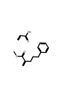 C=C(CCCc1ccccc1)C(=O)OC.C=CC(=O)O